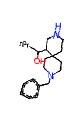 CCCC(O)C1CNCCC12CCN(Cc1ccccc1)CC2